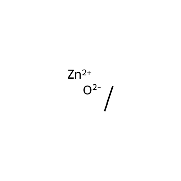 CC.[O-2].[Zn+2]